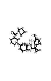 O=C(C1CCCN(c2ccc3nc(C4(n5cc(Cl)cn5)CC4)[nH]c3n2)C1)N1CCCC1